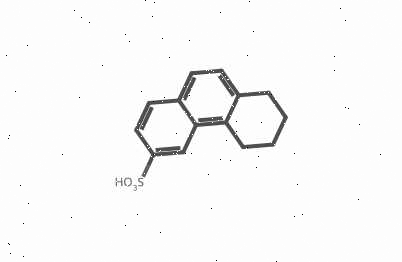 O=S(=O)(O)c1ccc2ccc3c(c2c1)CCCC3